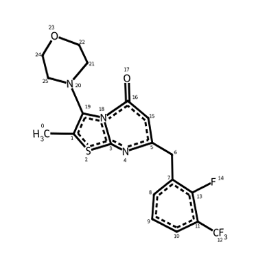 Cc1sc2nc(Cc3cccc(C(F)(F)F)c3F)cc(=O)n2c1N1CCOCC1